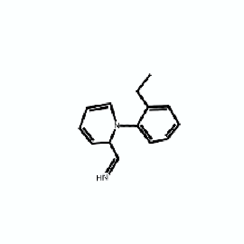 CCc1ccccc1N1C=CC=CC1C=N